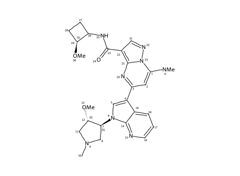 CNc1cc(-c2cn([C@H]3CN(C)C[C@@H]3OC)c3ncccc23)nc2c(C(=O)NC3CC[C@@H]3OC)cnn12